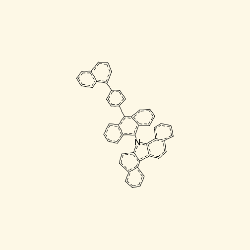 c1ccc2c(-c3ccc(-c4c5ccccc5c(-n5c6ccc7ccccc7c6c6ccc7ccccc7c65)c5ccccc45)cc3)cccc2c1